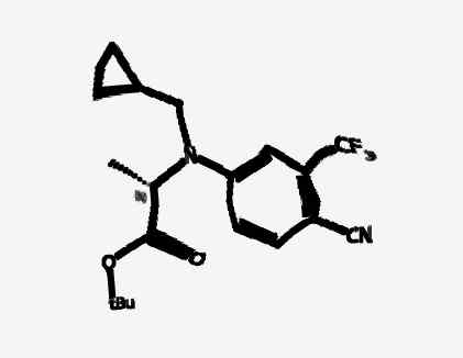 C[C@@H](C(=O)OC(C)(C)C)N(CC1CC1)c1ccc(C#N)c(C(F)(F)F)c1